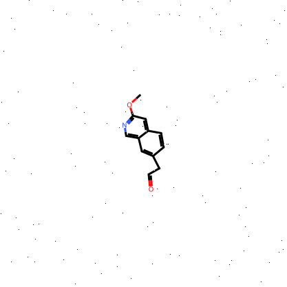 COc1cc2ccc(CC=O)cc2cn1